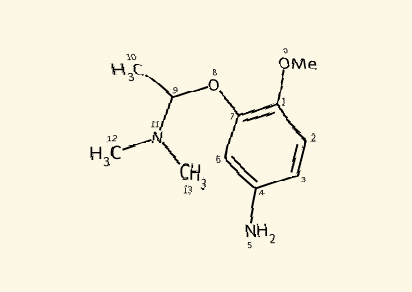 COc1ccc(N)cc1OC(C)N(C)C